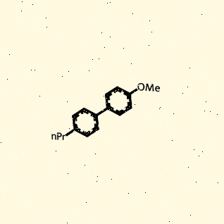 CCCc1ccc(-c2ccc(OC)cc2)cc1